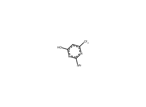 CCCc1nc(O)cc(C(F)(F)F)n1